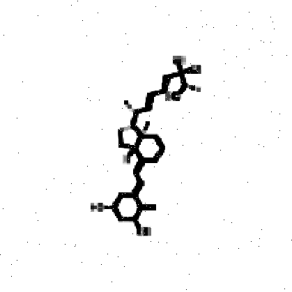 C=C1/C(=C/C=C2\CCC[C@]3(C)[C@@H]([C@H](C)/C=C/C=C/[C@@](O)(CC)[C@H](C)O)CC[C@@H]23)C[C@@H](O)C[C@@H]1O